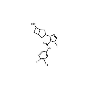 Cn1cnc(C2CC3CC(O)C3C2)c1C(=O)Nc1ccc(F)c(Cl)c1